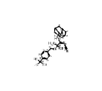 [2H]C12CC3CC(C1)C(NC(=NC#N)C(C)(C)OCc1ccc(C(F)(F)F)cc1)C(C3)C2